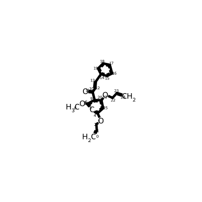 C=CCOc1cc(OC)c(C(=O)/C=C/c2ccccc2)c(OCC=C)c1